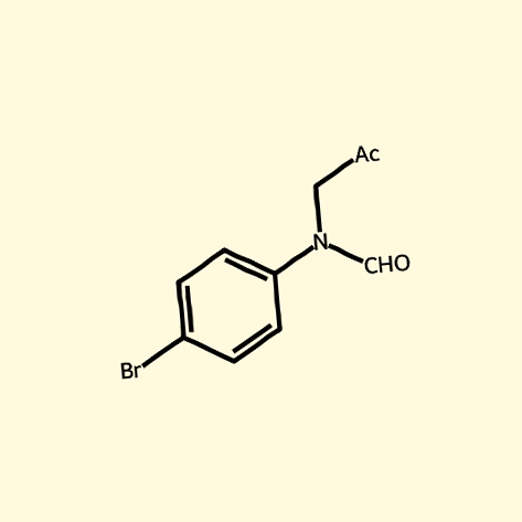 CC(=O)CN(C=O)c1ccc(Br)cc1